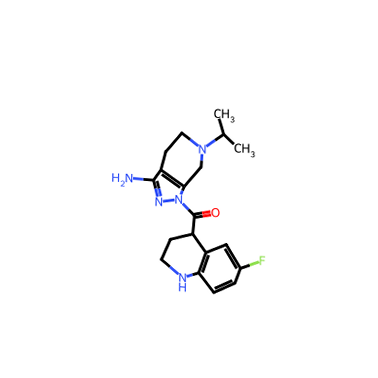 CC(C)N1CCc2c(N)nn(C(=O)C3CCNc4ccc(F)cc43)c2C1